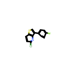 Fc1ccc(-c2csc3ccc(Cl)nc23)cc1